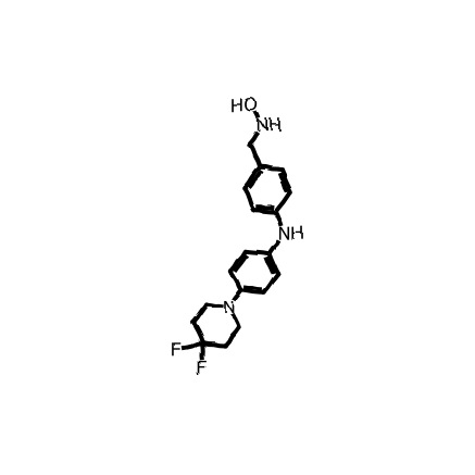 ONCc1ccc(Nc2ccc(N3CCC(F)(F)CC3)cc2)cc1